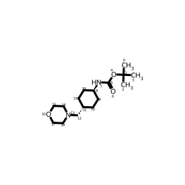 CC(C)(C)OC(=O)N[C@H]1CC[C@H](CN2CCOCC2)CC1